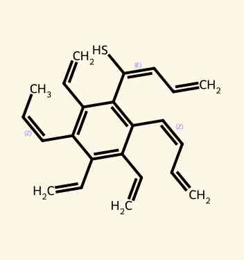 C=C/C=C\c1c(C=C)c(C=C)c(/C=C\C)c(C=C)c1/C(S)=C\C=C